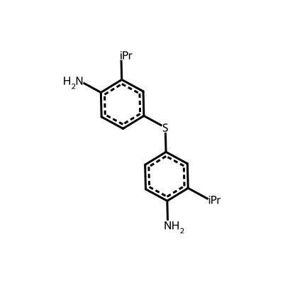 CC(C)c1cc(Sc2ccc(N)c(C(C)C)c2)ccc1N